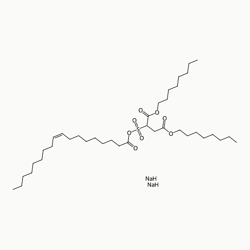 CCCCCCCC/C=C\CCCCCCCC(=O)OS(=O)(=O)C(CC(=O)OCCCCCCCC)C(=O)OCCCCCCCC.[NaH].[NaH]